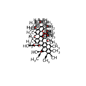 BBB(B)B(B(B)B)c1c(B(B(B)B)B(B)B)c(B(BB)B(B)B)c(B(B)B(B)B)c2c(-c3c4c(C)c(C)c(C)c(C)c4c(-c4c(C#CC#CC#C)c(C#CC#CC)c5c(c4C)c(C)c(C)c4c(C)c(C#C)c(C#CC)c(C#CC#C)c45)c4c(C)c(C)c(C)c(C)c34)c(C)c(C)c(B)c12